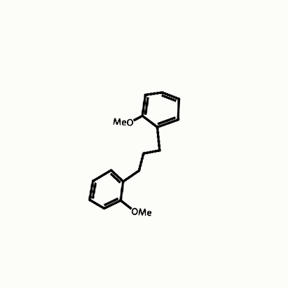 COc1ccccc1CCCc1ccccc1OC